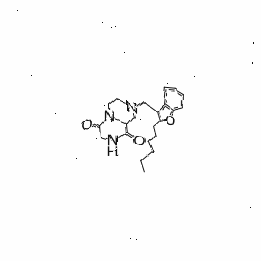 CCCCCCc1oc2ccccc2c1CN1CCN2C(=O)CNC(=O)C2C1